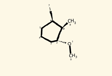 CO[C@@H]1CCC[C@@H](I)[C@H]1C